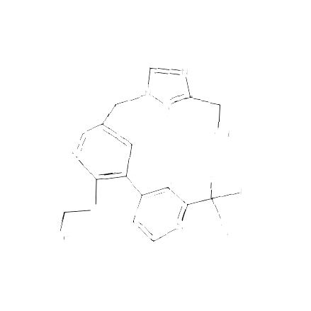 CCOc1ncc(Cn2cnc(CO)n2)cc1-c1ccnc(C(F)(F)F)c1